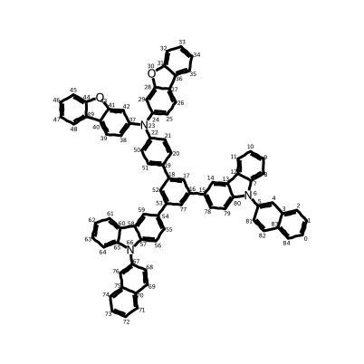 c1ccc2cc(-n3c4ccccc4c4cc(-c5cc(-c6ccc(N(c7ccc8c(c7)oc7ccccc78)c7ccc8c(c7)oc7ccccc78)cc6)cc(-c6ccc7c(c6)c6ccccc6n7-c6ccc7ccccc7c6)c5)ccc43)ccc2c1